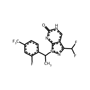 CC(c1ccc(C(F)(F)F)cc1F)n1nc(C(F)F)c2c[nH]c(=O)nc21